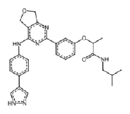 CC(C)CNC(=O)C(C)Oc1cccc(-c2nc3c(c(Nc4ccc(-c5cn[nH]c5)cc4)n2)COC3)c1